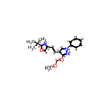 COCOc1nn(-c2ccccc2)cc1/C=C/c1coc(C(C)(C)C)n1